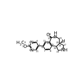 COc1ncc(-c2ccc3c(c2)C(=O)NC[C@@H]2CNCC32)cn1